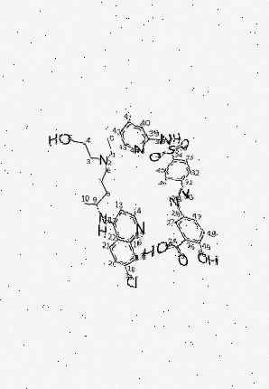 CCN(CCO)CCCC(C)Nc1ccnc2cc(Cl)ccc12.O=C(O)c1cc(N=Nc2ccc(S(=O)(=O)Nc3ccccn3)cc2)ccc1O